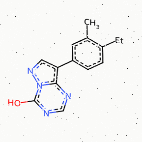 CCc1ccc(-c2cnn3c(O)ncnc23)cc1C